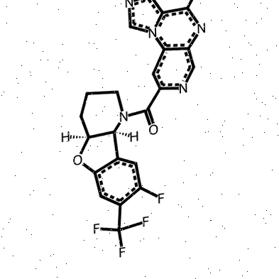 Nc1nc2cnc(C(=O)N3CCC[C@@H]4Oc5cc(C(F)(F)F)c(F)cc5[C@@H]43)cc2n2cncc12